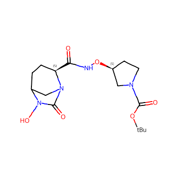 CC(C)(C)OC(=O)N1CC[C@H](ONC(=O)[C@@H]2CCC3CN2C(=O)N3O)C1